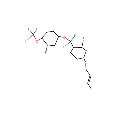 C/C=C/CCC1CCC(C(F)(F)OC2CCC(OC(F)(F)F)C(F)C2)C(F)C1